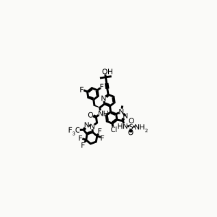 Cn1nc(NS(N)(=O)=O)c2c(Cl)ccc(-c3ccc(C#CC(C)(C)O)nc3[C@H](Cc3cc(F)cc(F)c3)NC(=O)Cn3nc(C(F)(F)F)c4c3C(F)(F)CCC4(F)F)c21